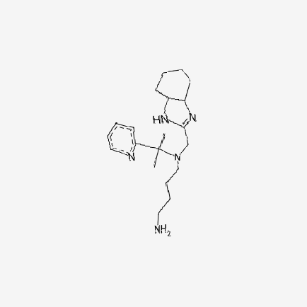 CC(C)(c1ccccn1)N(CCCCN)CC1=NC2CCCCC2N1